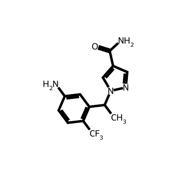 CC(c1cc(N)ccc1C(F)(F)F)n1cc(C(N)=O)cn1